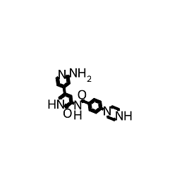 Nc1cc(-c2c[nH]c(=O)c(NC(=O)c3ccc(N4CCNCC4)cc3)c2)ccn1